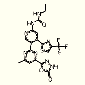 CCNC(=O)Nc1cc(-c2nc(C(F)(F)F)cs2)c(-c2nc(C)cc(-c3n[nH]c(=O)o3)n2)cn1